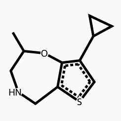 CC1CNCc2scc(C3CC3)c2O1